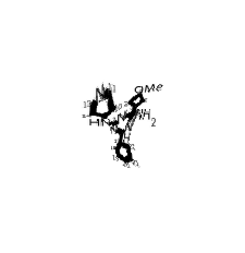 COC1CC(C2(N)N=C(Nc3ccncc3)N=C(c3ccccc3)N2)C1